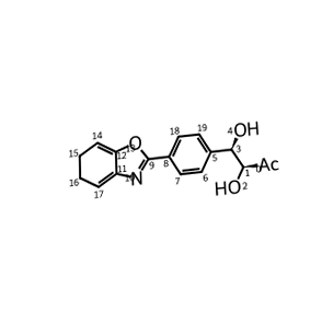 CC(=O)[C@@H](O)[C@H](O)c1ccc(-c2nc3c(o2)=CCCC=3)cc1